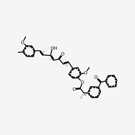 COc1cc(/C=C/C(O)=C/C(=O)/C=C/c2ccc(OC(=O)[C@@H](C)c3cccc(C(=O)c4ccccc4)c3)c(OC)c2)ccc1C